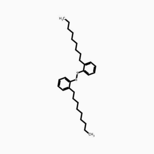 CCCCCCCCCc1ccccc1SSc1ccccc1CCCCCCCCC